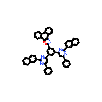 c1ccc(-c2cc(-c3cc(-c4cc(-c5ccccc5)nc(-c5ccc6ccccc6c5)n4)cc(-c4nc5c6ccccc6c6ccccc6c5o4)c3)nc(-c3ccc4ccccc4c3)n2)cc1